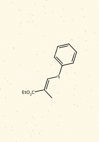 CCOC(=O)C(C)=CSc1ccccc1